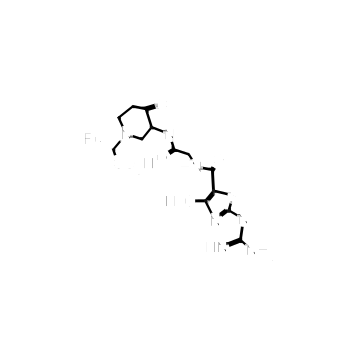 CC[C@@H](C(=O)O)N1CCC(=O)C(NC(=O)CNC(=O)c2sc(NC(=N)N)nc2C)C1